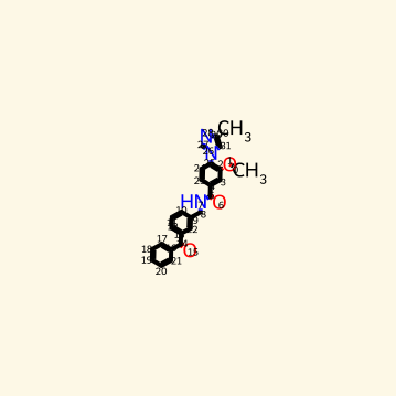 COc1cc(C(=O)NCc2cccc(C(=O)c3ccccc3)c2)ccc1-n1cnc(C)c1